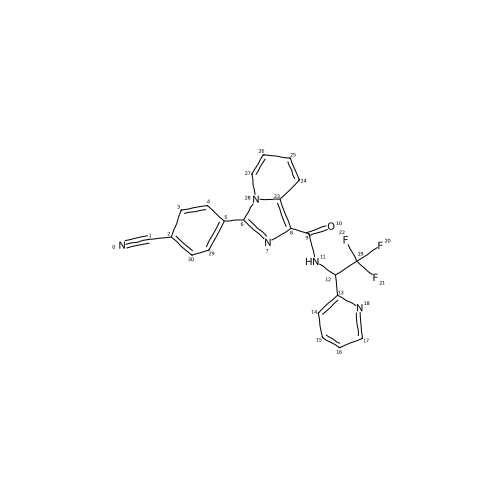 N#Cc1ccc(-c2nc(C(=O)NC(c3ccccn3)C(F)(F)F)c3ccccn23)cc1